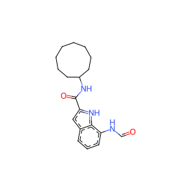 O=CNc1cccc2cc(C(=O)NC3CCCCCCCC3)[nH]c12